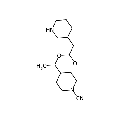 CC(OC([O])CC1CCCNC1)C1CCN(C#N)CC1